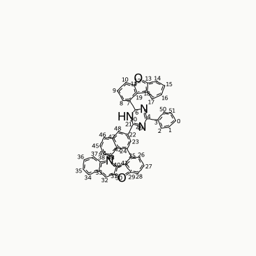 c1ccc(C2=NC(c3cccc4oc5ccccc5c34)NC(c3cc(-c4cccc5oc6cc7ccccc7nc6c45)c4ccccc4c3)=N2)cc1